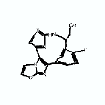 OC[C@@H]1Nc2nccc(n2)-c2c(nc3occn23)-c2ccc(F)c1c2